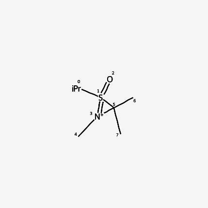 CC(C)S1(=O)=[N+](C)C1(C)C